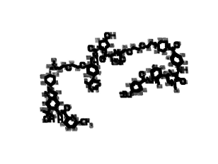 Cc1ncsc1-c1ccc(CNC(=O)[C@@H]2C[C@@H](O)CN2C(=O)[C@@H](NC(=O)COCCOCCN2CCN(C(=O)c3ccc(Nc4nc(-c5cccc(NC(=O)c6ccc(C(C)(C)C)cc6)c5C)cn(C)c4=O)cc3)CC2)C(C)(C)C)c(OCCOCCN(C)C[C@H]2CC[C@H](n3cc4cc(NC(=O)c5cccc(C(F)(F)F)n5)c(C(C)(C)O)cc4n3)CC2)c1